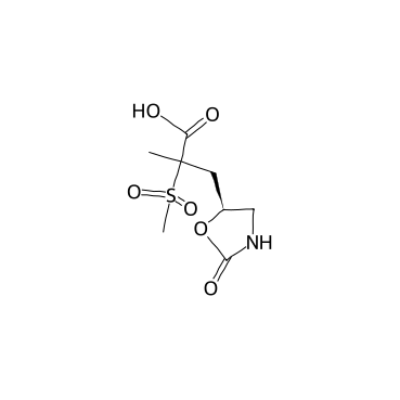 CC(C[C@H]1CNC(=O)O1)(C(=O)O)S(C)(=O)=O